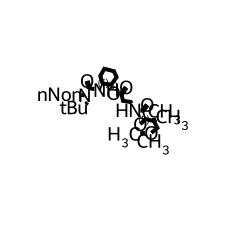 CCCCCCCCCN(CC(C)(C)C)C(=O)N[C@H]1CCCC[C@@H]1OC(=O)CCNC(=O)[C@@H]1OC(C)(C)OCC1(C)C